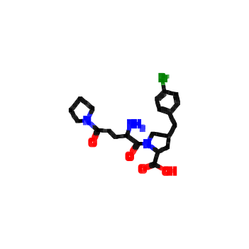 NC(CCC(=O)N1CCCC1)C(=O)N1CC(Cc2ccc(Br)cc2)CC1C(=O)O